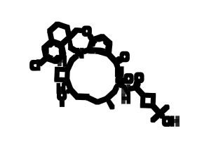 CO[C@H]1/C=C/C[C@H](C)CS(=O)(NC(=O)C2CC(C(C)(C)O)C2)=NC(=O)c2ccc3c(c2)N(C[C@@H]2CC[C@H]21)C[C@@]1(CCCc2cc(Cl)ccc21)CO3